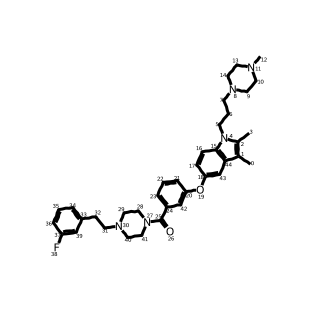 Cc1c(C)n(CCCN2CCN(C)CC2)c2ccc(Oc3cccc(C(=O)N4CCN(CCc5cccc(F)c5)CC4)c3)cc12